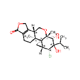 CC(C)[C@]1(O)[C@H](Cl)[C@@H]2C[C@@]23[C@@]2(C)CCC4=C(COC4=O)[C@@H]2CO[C@]3(C)[C@@H]1O